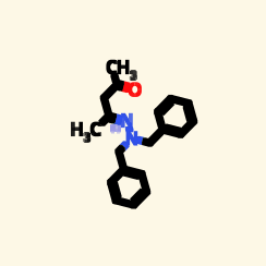 CC(=O)C/C(C)=N/N(Cc1ccccc1)Cc1ccccc1